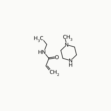 C=CC(=O)NCC.CN1CCNCC1